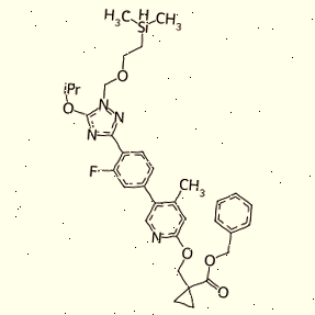 Cc1cc(OCC2(C(=O)OCc3ccccc3)CC2)ncc1-c1ccc(-c2nc(OC(C)C)n(COCC[SiH](C)C)n2)c(F)c1